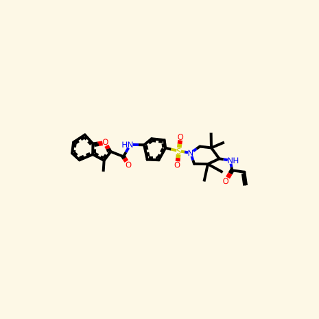 C=CC(=O)NC1C(C)(C)CN(S(=O)(=O)c2ccc(NC(=O)c3oc4ccccc4c3C)cc2)CC1(C)C